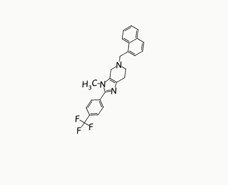 Cn1c(-c2ccc(C(F)(F)F)cc2)nc2c1CN(Cc1cccc3ccccc13)CC2